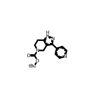 CC(C)(C)OC(=O)N1CCc2[nH]nc(-c3ccncc3)c2C1